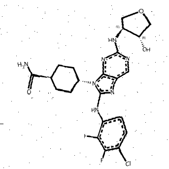 NC(=O)[C@H]1CC[C@H](n2c(Nc3ccc(Cl)c(F)c3F)nc3cnc(N[C@H]4COC[C@@H]4O)nc32)CC1